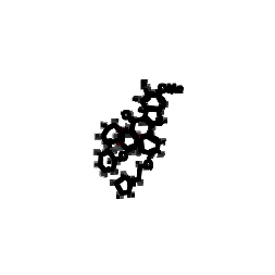 COc1cc2sc(-c3ccc(OCCN4CCCC4)cc3)c(C(=O)c3ccc(O[C@H]4CCCC[C@@H]4N4CCCCC4)cc3)c2cc1F